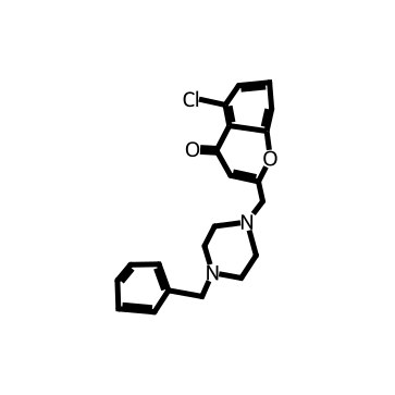 O=c1cc(CN2CCN(Cc3ccccc3)CC2)oc2cccc(Cl)c12